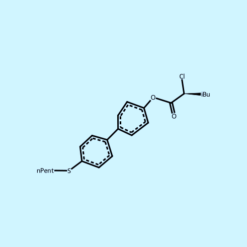 CCCCCSc1ccc(-c2ccc(OC(=O)[C@@H](Cl)C(C)CC)cc2)cc1